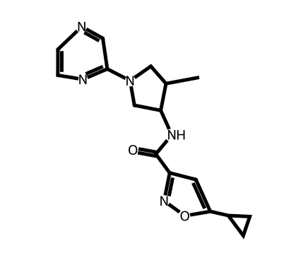 CC1CN(c2cnccn2)CC1NC(=O)c1cc(C2CC2)on1